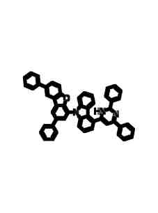 C1=C(c2cccc3c2c2ccccc2n3-c2cc(-c3ccccc3)cc3c2oc2ccc(-c4ccccc4)cc23)NC(c2ccccc2)N=C1c1ccccc1